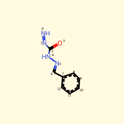 N=NC(=O)NN=Cc1ccccc1